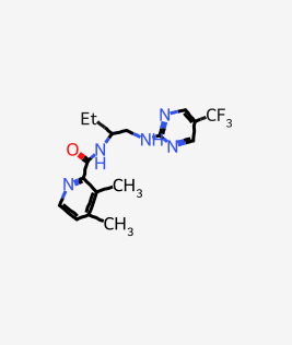 CCC(CNc1ncc(C(F)(F)F)cn1)NC(=O)c1nccc(C)c1C